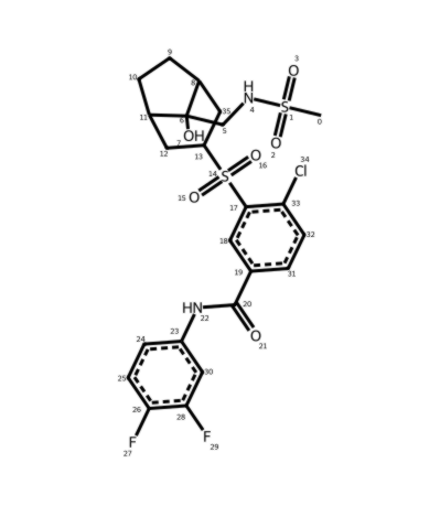 CS(=O)(=O)NCC1(O)C2CCC1CC(S(=O)(=O)c1cc(C(=O)Nc3ccc(F)c(F)c3)ccc1Cl)C2